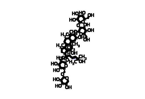 CC(C)(O)/C=C/C[C@](C)(O[C@@H]1O[C@H](CO[C@@H]2OC[C@@H](O)[C@H](O)[C@H]2O)[C@@H](O)[C@H](O)[C@H]1O)[C@H]1CC[C@]2(C)[C@@H]1[C@H](O)CC1[C@@]3(C)C[C@@H](O)[C@H](O[C@@H]4O[C@H](CO)[C@@H](O)[C@H](O)[C@H]4O[C@@H]4O[C@H](CO)[C@@H](O)[C@H](O)[C@H]4O)C(C)(C)C3CC[C@]12C